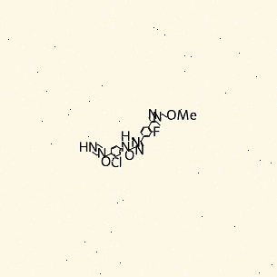 COCCn1ncc(-c2ccc(-c3cnc(C(=O)Nc4ccc(C(=O)N5CCNCC5)c(Cl)c4)n3C)cc2F)c1C